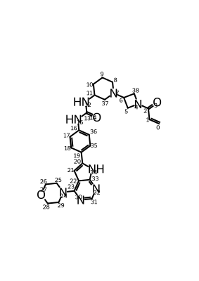 C=CC(=O)N1CC(N2CCCC(NC(=O)Nc3ccc(-c4cc5c(N6CCOCC6)ncnc5[nH]4)cc3)C2)C1